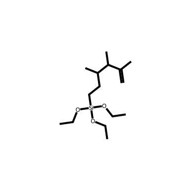 C=C(C)C(C)C(C)CC[Si](OCC)(OCC)OCC